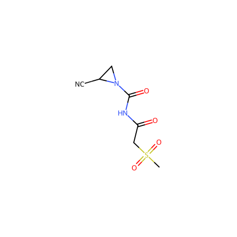 CS(=O)(=O)CC(=O)NC(=O)N1CC1C#N